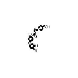 N#Cc1ccc(O[C@H]2CC[C@H](NC(=O)c3nnc(N4CCC(CO)CC4)o3)CC2)cc1Cl